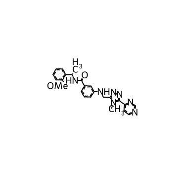 COc1ccccc1[C@H](C)NC(=O)c1cccc(NCc2nnc(-c3ccncn3)n2C)c1